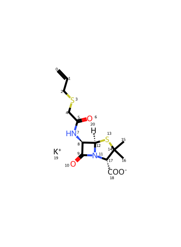 C=CCSCC(=O)N[C@@H]1C(=O)N2[C@@H]1SC(C)(C)[C@@H]2C(=O)[O-].[K+]